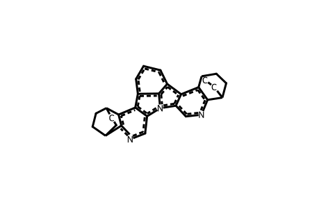 c1cc2c3c4c(ncc3n3c5cnc6c(c5c(c1)c23)C1CCC6CC1)C1CCC4CC1